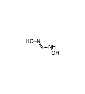 ON=CNO